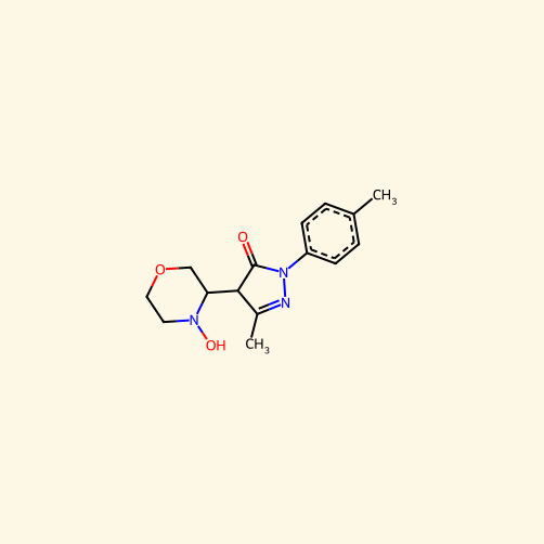 CC1=NN(c2ccc(C)cc2)C(=O)C1C1COCCN1O